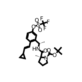 C[C@H](NC(=O)[C@]1(C)CCCN1C(=O)OC(C)(C)C)c1cc(OS(=O)(=O)C(F)(F)F)ccc1/C=C/C1CC1